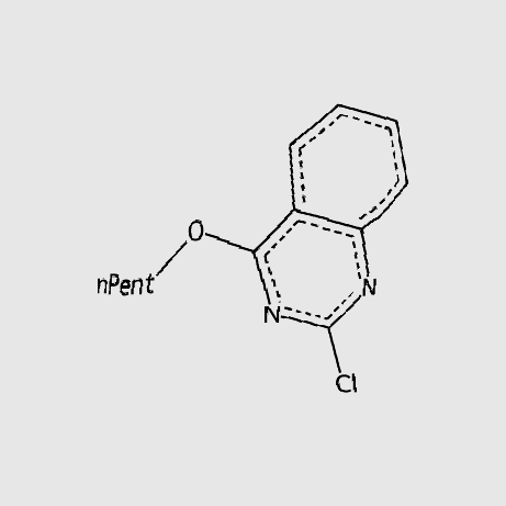 CCCCCOc1nc(Cl)nc2ccccc12